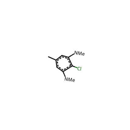 CNc1cc(C)cc(NC)c1Cl